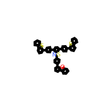 c1ccc2c(c1)oc1c(-c3ccc(-c4nc5c(-c6ccc(-c7cccc8c7sc7ccccc78)cc6)ccc(-c6ccc(-c7cccc8c7sc7ccccc78)cc6)c5s4)cc3)cccc12